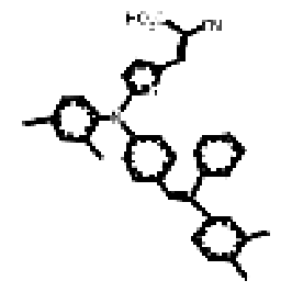 Cc1ccc(N(c2ccc(/C=C(\c3ccccc3)c3ccc(C)c(C)c3)cc2)c2ccc(/C=C(/C#N)C(=O)O)s2)c(C)c1